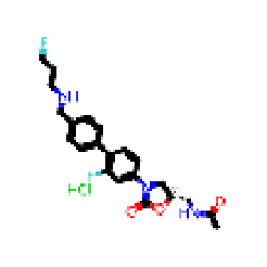 CC(=O)NC[C@H]1CN(c2ccc(-c3ccc(CNCCCF)cc3)c(F)c2)C(=O)O1.Cl